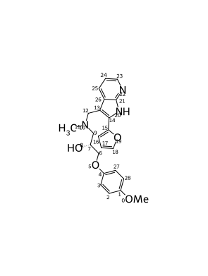 COc1ccc(OC[C@H](O)CN(C)Cc2c(-c3ccco3)[nH]c3ncccc23)cc1